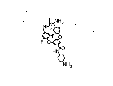 N=C(N)c1ccc(Oc2cc(Oc3c(F)cc(CN)cc3F)cc(C(=O)NC3CCC(N)CC3)c2)cc1